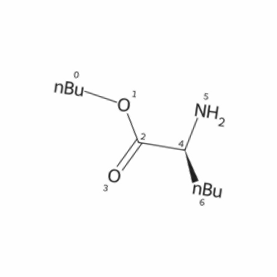 CCCCOC(=O)[C@@H](N)CCCC